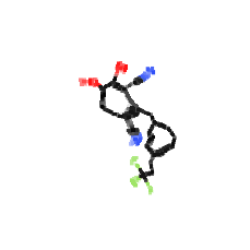 N#Cc1cc(O)c(O)c(C#N)c1Cc1ccc(CC(F)(F)F)cc1